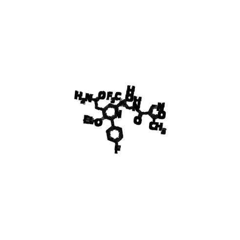 CCOc1c(CC(N)=O)cc([C@@](O)(CNC(=O)c2cnoc2C)C(F)(F)F)nc1-c1ccc(F)cc1